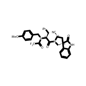 COc1ccc(CN(C(=O)C(F)(F)F)[C@@H](CC(C)C)C(=O)N2C[C@]3(C[C@H]2C#N)C(=O)Nc2ccccc23)cc1